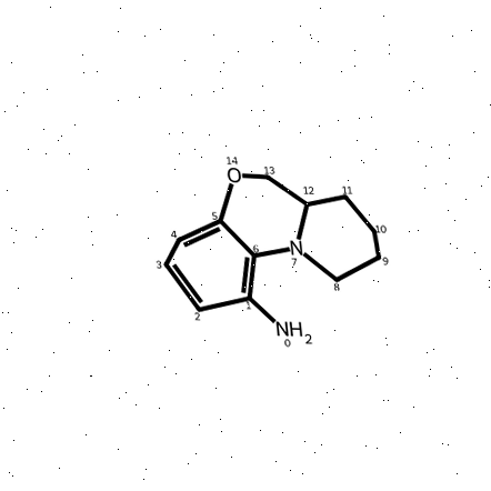 Nc1cccc2c1N1CCCCC1CO2